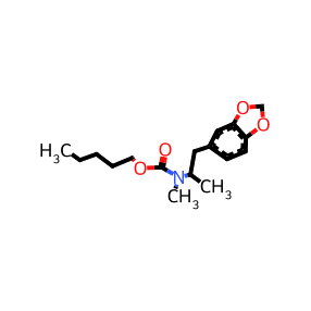 CCCCCOC(=O)N(C)C(C)Cc1ccc2c(c1)OCO2